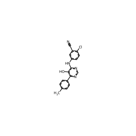 Cc1ccc(-c2ncnc(Nc3ccc(Cl)c(C#N)c3)c2O)cc1